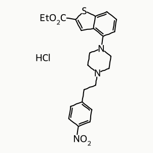 CCOC(=O)c1cc2c(N3CCN(CCc4ccc([N+](=O)[O-])cc4)CC3)cccc2s1.Cl